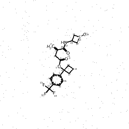 C=C(CC(=O)OC1(c2ccc(C(F)(F)F)cc2)CCC1)C(=O)NC1C[S+]([O-])C1